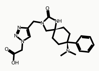 CN(C)[C@]1(c2ccccc2)CC[C@@]2(CC1)CN(Cc1cn(CC(=O)O)nn1)C(=O)N2